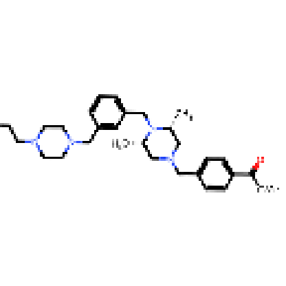 COC(=O)c1ccc(CN2C[C@@H](C)N(Cc3cccc(CN4CCN(CCC(C)C)CC4)c3)[C@@H](C)C2)cc1